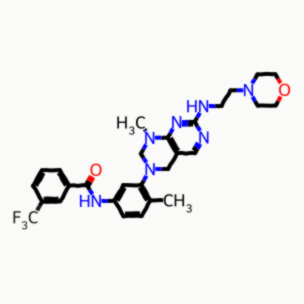 Cc1ccc(NC(=O)c2cccc(C(F)(F)F)c2)cc1N1Cc2cnc(NCCN3CCOCC3)nc2N(C)C1